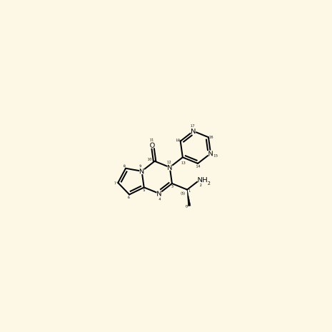 C[C@H](N)c1nc2cccn2c(=O)n1-c1cncnc1